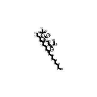 CCCCCCCCC(CCCCCCCC)ON(CC)CCNC(=O)OC(C)(C)C